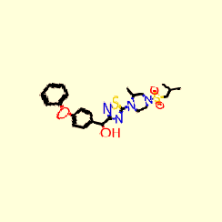 CC(C)CS(=O)(=O)N1CCN(c2nc(C(O)c3ccc(Oc4ccccc4)cc3)ns2)C(C)C1